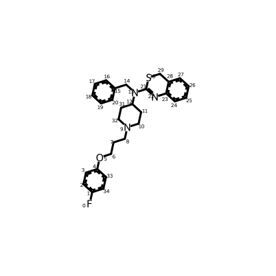 Fc1ccc(OCCCN2CCC(N(Cc3ccccc3)C3=Nc4ccccc4CS3)CC2)cc1